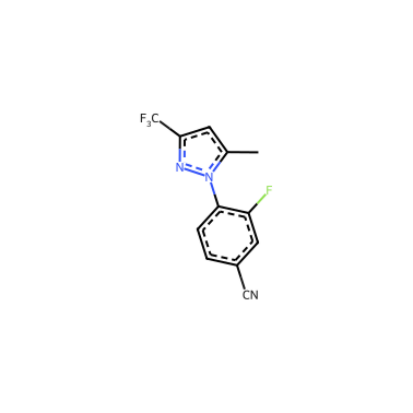 Cc1cc(C(F)(F)F)nn1-c1ccc(C#N)cc1F